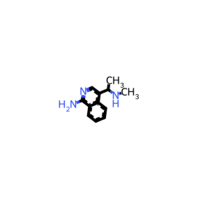 CNC(C)c1cnc(N)c2ccccc12